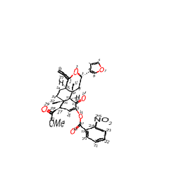 C=C1O[C@H](c2ccoc2)C[C@]2(C)[C@H]3C(=O)C(OC(=O)c4ccccc4[N+](=O)[O-])=C[C@@H](C(=O)OC)[C@]3(C)CC[C@@H]12